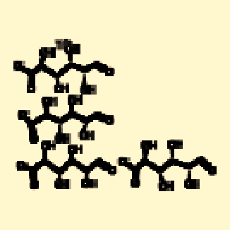 O=C[C@H](O)[C@@H](O)[C@H](O)[C@H](O)C(=O)[O-].O=C[C@H](O)[C@@H](O)[C@H](O)[C@H](O)C(=O)[O-].O=C[C@H](O)[C@@H](O)[C@H](O)[C@H](O)C(=O)[O-].O=C[C@H](O)[C@@H](O)[C@H](O)[C@H](O)C(=O)[O-].[Ti+4]